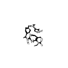 CCN1C(=O)OCc2cnc(NC(C)c3ccc(CN(C)C4CNC4)cc3)nc21